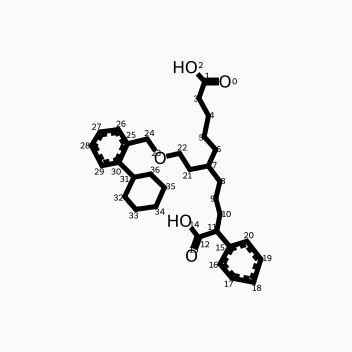 O=C(O)CCCCC(CCCC(C(=O)O)c1ccccc1)CCOCc1ccccc1C1CCCCC1